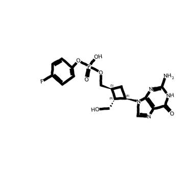 Nc1nc2c(ncn2[C@@H]2C[C@H](COP(=O)(O)Oc3ccc(F)cc3)[C@H]2CO)c(=O)[nH]1